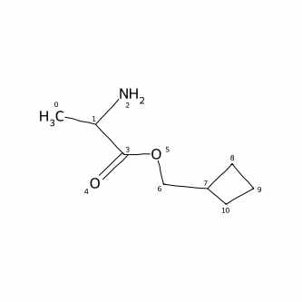 CC(N)C(=O)OCC1CCC1